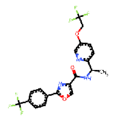 C[C@@H](NC(=O)c1coc(-c2ccc(C(F)(F)F)cc2)n1)c1ccc(OCC(F)(F)F)cn1